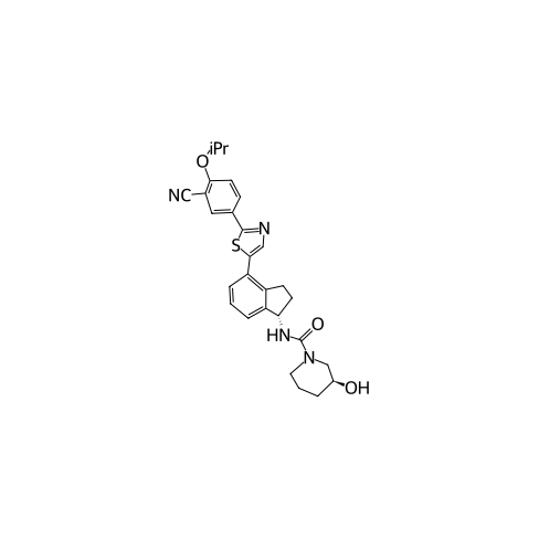 CC(C)Oc1ccc(-c2ncc(-c3cccc4c3CC[C@@H]4NC(=O)N3CCC[C@H](O)C3)s2)cc1C#N